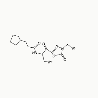 CC(C)CC(NC(=O)CCC1CCCC1)C(=O)c1nn(CC(C)C)c(=O)o1